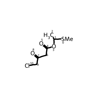 CSC(C)OC(=O)CC(=O)CCl